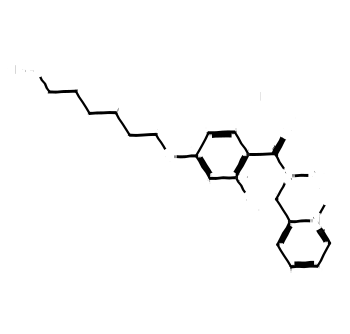 CCCCCCCCCCCCCCCCOc1ccc(C(=O)N(Cc2cccc[n+]2CC)C(C)=O)c(C)c1.[I-]